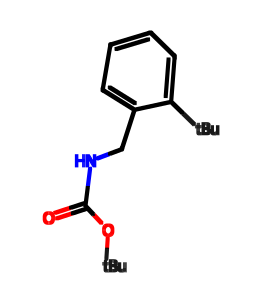 CC(C)(C)OC(=O)NCc1ccccc1C(C)(C)C